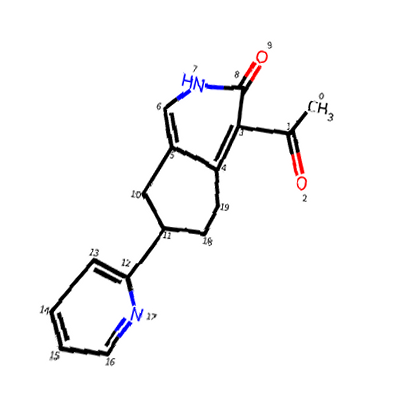 CC(=O)c1c2c(c[nH]c1=O)CC(c1ccccn1)CC2